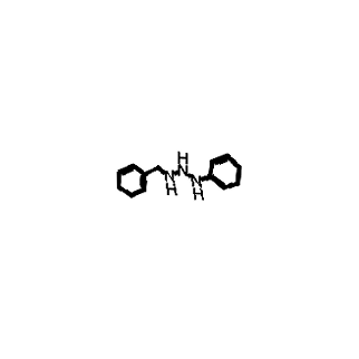 C1=CC(CNNNC2=CCCC=C2)=CCC1